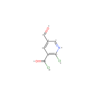 O=Cc1cnc(Cl)c(C(=O)Cl)c1